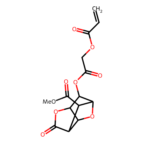 C=CC(=O)OCC(=O)OC1C2OC(=O)C3C2OC1C3C(=O)OC